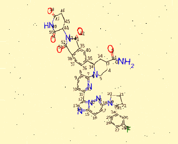 NC(=O)C1CCN(c2cccc(-c3cnc4ccc(N5CCC[C@@H]5c5cccc(F)c5)nn34)n2)C(c2ccc3c(c2)C(=O)N(C2CCC(=O)NC2=O)C3=O)C1